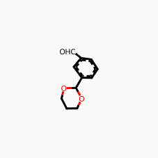 O=Cc1cccc(C2OCCCO2)c1